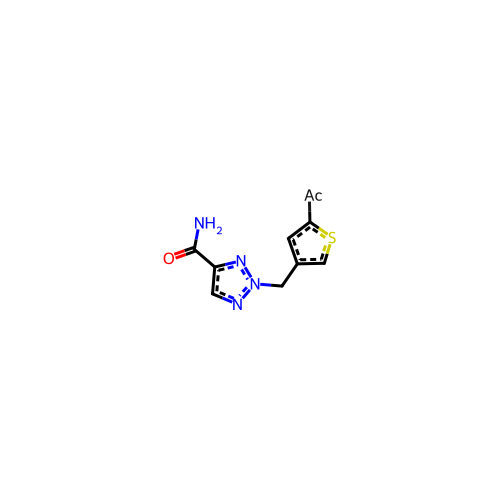 CC(=O)c1cc(Cn2ncc(C(N)=O)n2)cs1